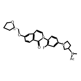 CC(=O)N(C)C1CCN(c2ccc(-n3ccc4cc(OC[C@@H]5CCCO5)ccc4c3=O)c(F)c2)C1